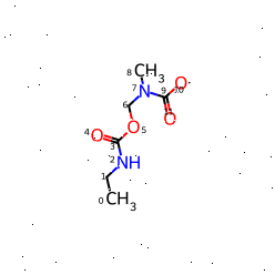 CCNC(=O)OCN(C)C([O])=O